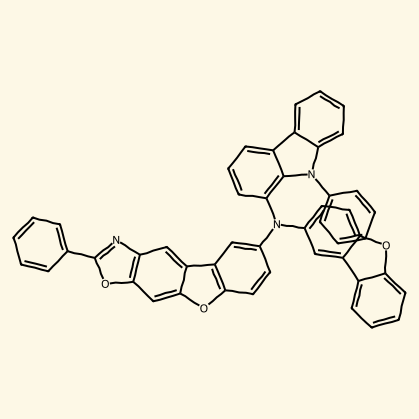 c1ccc(-c2nc3cc4c(cc3o2)oc2ccc(N(c3ccc5oc6ccccc6c5c3)c3cccc5c6ccccc6n(-c6ccccc6)c35)cc24)cc1